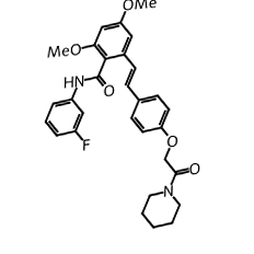 COc1cc(/C=C/c2ccc(OCC(=O)N3CCCCC3)cc2)c(C(=O)Nc2cccc(F)c2)c(OC)c1